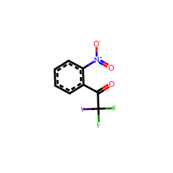 O=C(c1ccccc1[N+](=O)[O-])C(F)(F)I